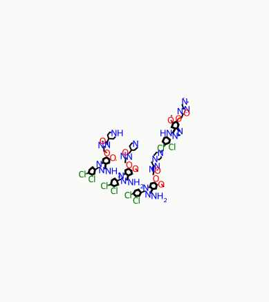 COc1cc2c(N)nc(-c3ccc(Cl)c(Cl)c3)nc2cc1OCc1nc(CN2CCN(C)CC2)no1.COc1cc2c(N)nc(-c3ccc(Cl)c(Cl)c3)nc2cc1OCc1noc(C2CCN(C)CC2)n1.COc1cc2c(N)nc(-c3ccc(Cl)c(Cl)c3)nc2cc1OCc1noc(C2CCNCC2)n1.COc1cc2c(Nc3ccc(Cl)c(Cl)c3)ncnc2cc1OCc1nc(CN(C)C)no1